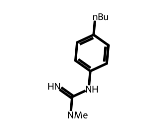 CCCCc1ccc(NC(=N)NC)cc1